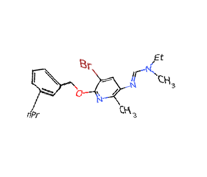 CCCc1cccc(COc2nc(C)c(/N=C/N(C)CC)cc2Br)c1